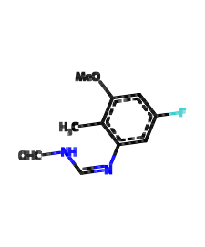 COc1cc(F)cc(/N=C\NC=O)c1C